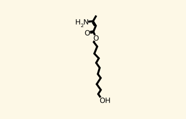 C/C(N)=C/C(=O)OCCCCCCCCCCCO